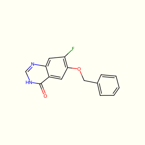 O=c1[nH]cnc2cc(F)c(OCc3ccccc3)cc12